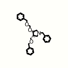 c1ccc(COCO[C@@H]2CN(Cc3ccccc3)C[C@@H]2COCc2ccccc2)cc1